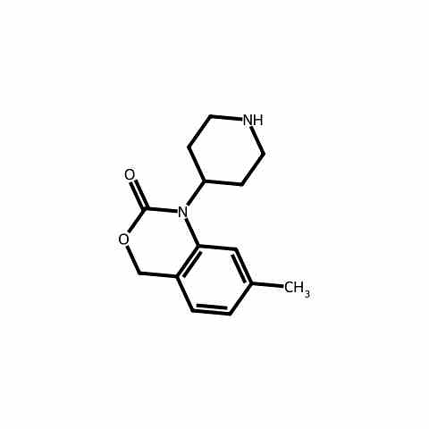 Cc1ccc2c(c1)N(C1CCNCC1)C(=O)OC2